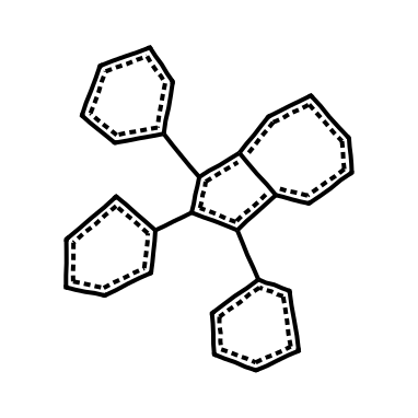 c1ccc(-c2c3cccccc-3c(-c3ccccc3)c2-c2ccccc2)cc1